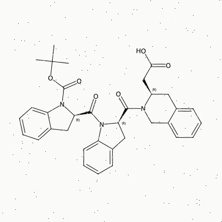 CC(C)(C)OC(=O)N1c2ccccc2C[C@@H]1C(=O)N1c2ccccc2C[C@@H]1C(=O)N1Cc2ccccc2C[C@@H]1CC(=O)O